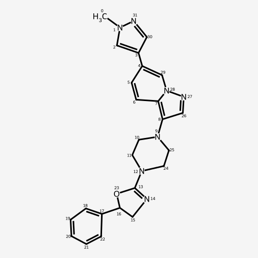 Cn1cc(-c2ccc3c(N4CCN(C5=NCC(c6ccccc6)O5)CC4)cnn3c2)cn1